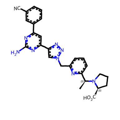 C[C@@H](c1cccc(Cn2cc(-c3cc(-c4cccc(C#N)c4)nc(N)n3)nn2)n1)N1CCC[C@H]1C(=O)O